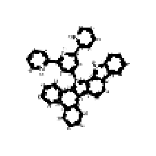 c1ccc(-c2cc(-n3c4c(ccc5c6ccccc6sc54)c4c5ccccc5c5ccccc5c43)cc(-c3ccccn3)n2)nc1